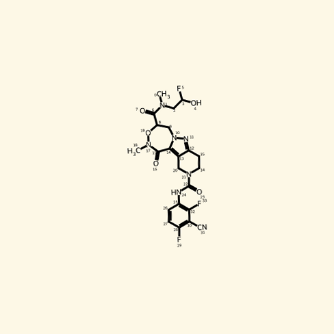 CN(CC(O)F)C(=O)C1Cn2nc3c(c2C(=O)N(C)O1)CN(C(=O)Nc1ccc(F)c(C#N)c1F)CC3